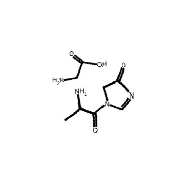 CC(N)C(=O)N1C=NC(=O)C1.NCC(=O)O